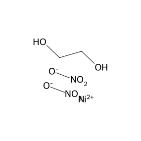 O=[N+]([O-])[O-].O=[N+]([O-])[O-].OCCO.[Ni+2]